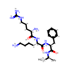 CC(C)[C@H](NC(=O)[C@H](Cc1ccccc1)NC(=O)[C@H](CCCCN)NC(=O)[C@@H](N)CCCNC(=N)N)C(=O)O